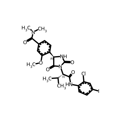 COc1cc(C(=O)N(C)C)ccc1[C@H]1NC(=O)N([C@H](C(=O)Nc2ccc(I)cc2Cl)C(C)C)C1=O